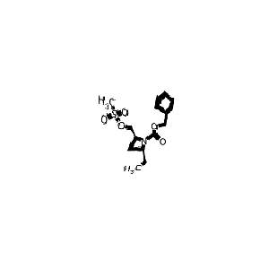 CC[C@H]1C[C@@H](COS(C)(=O)=O)N1C(=O)OCc1ccccc1